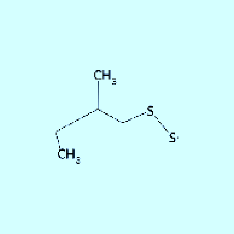 CCC(C)CS[S]